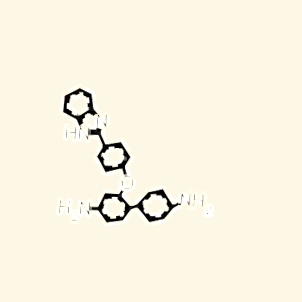 Nc1ccc(-c2ccc(N)cc2Oc2ccc(-c3nc4ccccc4[nH]3)cc2)cc1